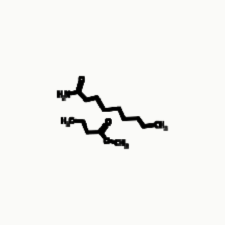 CCCC(=O)OC.CCCCCCCCC(N)=O